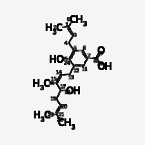 CC(C)=CCc1cc(C(=O)O)cc(CC=C(C)C(O)CC=C(C)C)c1O